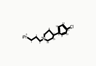 CC(C)CCCN1CCC(c2ccc(Cl)cc2)CC1